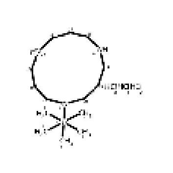 Cl.Cl.Cl.[CH3][Ti]([CH3])([CH3])([CH3])([CH3])[N]1CCCNCCCNCCC1